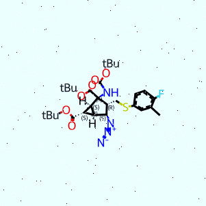 Cc1cc(SC[C@@H]2[C@@H](N=[N+]=[N-])[C@H]3[C@H](C(=O)OC(C)(C)C)[C@H]3[C@]2(NC(=O)OC(C)(C)C)C(=O)OC(C)(C)C)ccc1F